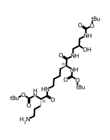 CC(C)(C)OC(=O)NCC(O)CNC(=O)[C@H](CCCCNC(=O)[C@H](CCCN)NC(=O)OC(C)(C)C)NC(=O)OC(C)(C)C